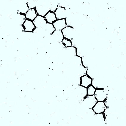 COc1cc(-c2cn(C)c(=O)c3cnccc23)cc(OC)c1CN(C)Cc1cn(CCCCOc2ccc3c(c2)C(=O)N(C2CCC(=O)NC2=O)C3=O)nn1